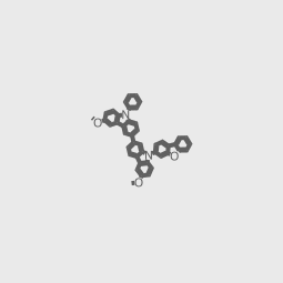 COc1ccc2c(c1)c1cc(-c3ccc4c5cc(OC)ccc5n(-c5ccc6c(c5)oc5ccccc56)c4c3)ccc1n2-c1ccccc1